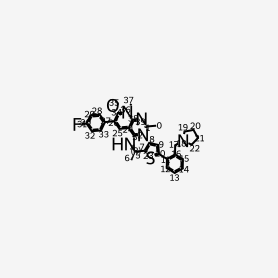 Cc1nc(N[C@H](C)c2ccc(-c3ccccc3CN3CCCC3)s2)c2cc(-c3ccc(F)cc3)c(=O)n(C)c2n1